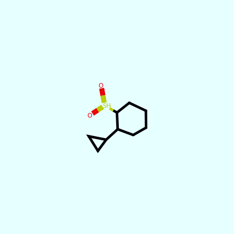 O=[SH](=O)C1CCCCC1C1CC1